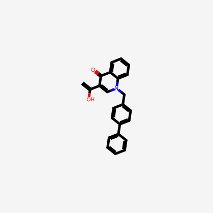 C=C(O)c1cn(Cc2ccc(-c3ccccc3)cc2)c2ccccc2c1=O